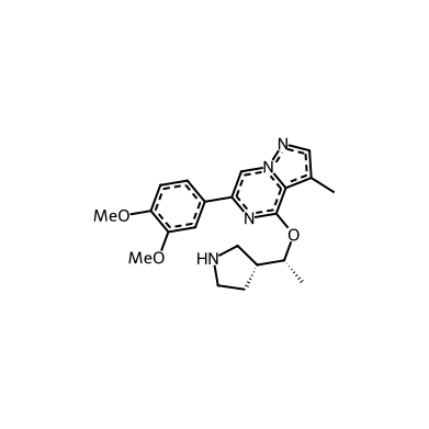 COc1ccc(-c2cn3ncc(C)c3c(O[C@H](C)[C@@H]3CCNC3)n2)cc1OC